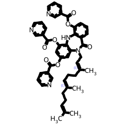 CC(C)=CCC/C(C)=C/CC/C(C)=C/CN1C(=O)c2cccc(OC(=O)c3cccnc3)c2Nc2c(OC(=O)c3cccnc3)cc(OC(=O)c3cccnc3)cc21